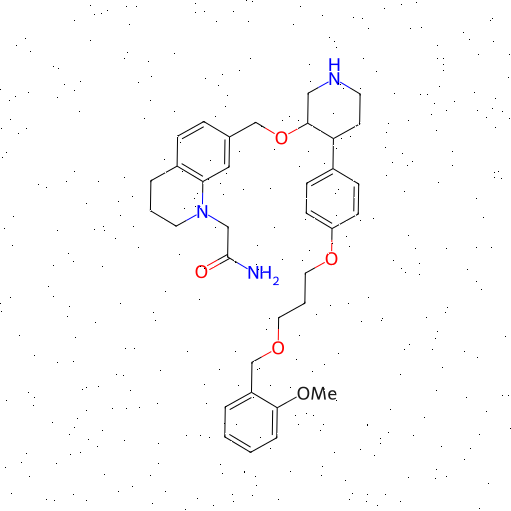 COc1ccccc1COCCCOc1ccc(C2CCNCC2OCc2ccc3c(c2)N(CC(N)=O)CCC3)cc1